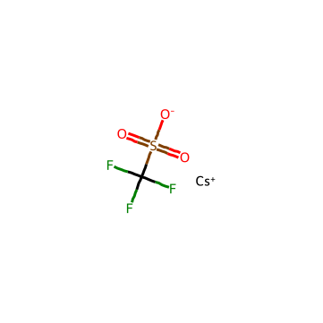 O=S(=O)([O-])C(F)(F)F.[Cs+]